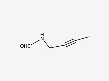 CC#CCN[C]=O